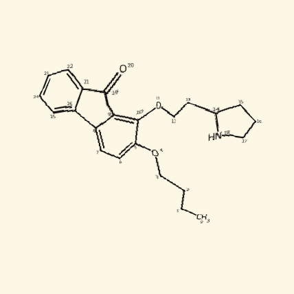 CCCCOc1ccc2c(c1OCCC1CCCN1)C(=O)c1ccccc1-2